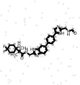 CC(C)(C(=O)NCc1nc2ccc(-c3ccc(-c4cnc(CNC=O)[nH]4)cc3)cc2[nH]1)C1(O)CCC(F)(F)CC1